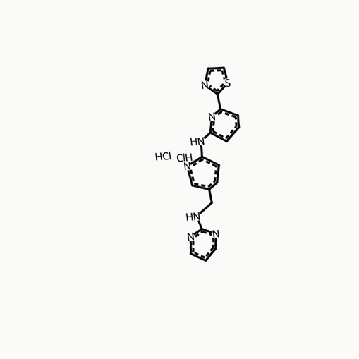 Cl.Cl.c1cnc(NCc2ccc(Nc3cccc(-c4nccs4)n3)nc2)nc1